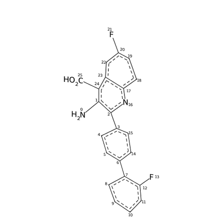 Nc1c(-c2ccc(-c3ccccc3F)cc2)nc2ccc(F)cc2c1C(=O)O